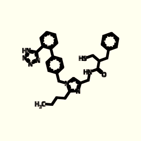 CCCCc1nc(CNC(=O)C(CS)Cc2ccccc2)cn1Cc1ccc(-c2ccccc2-c2nnn[nH]2)cc1